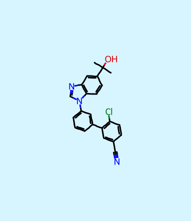 CC(C)(O)c1ccc2c(c1)ncn2-c1cccc(-c2cc(C#N)ccc2Cl)c1